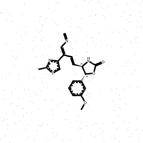 C=N/C=C(\C=C\[C@H]1NC(=O)O[C@@H]1c1cccc(OC)c1)c1csc(C)n1